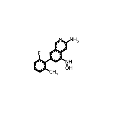 Cc1cccc(F)c1-c1cc(NO)c2cc(N)ncc2c1